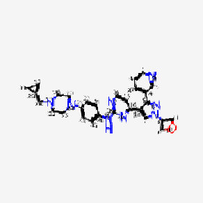 c1cncc(-c2nn(C3COC3)cc2-c2ccnc(Nc3ccc(N4CCN(CC5CC5)CC4)cc3)n2)c1